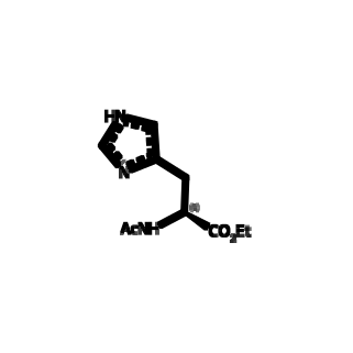 CCOC(=O)[C@H](Cc1c[nH]cn1)NC(C)=O